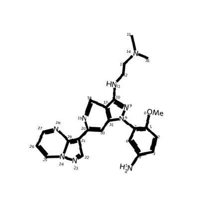 COc1ccc(N)cc1-n1nc(NCCN(C)C)c2cnc(-c3cnn4cccnc34)cc21